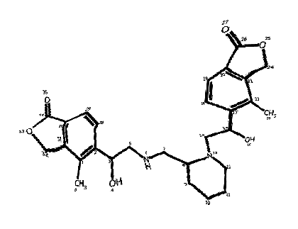 Cc1c(C(O)CNCC2CCCCN2CC(O)c2ccc3c(c2C)COC3=O)ccc2c1COC2=O